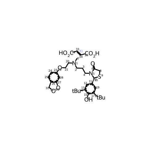 CN(CCCN1C(=O)CS[C@H]1c1cc(C(C)(C)C)c(O)c(C(C)(C)C)c1)CCOc1ccc2c(c1)OOC2.O=C(O)/C=C/C(=O)O